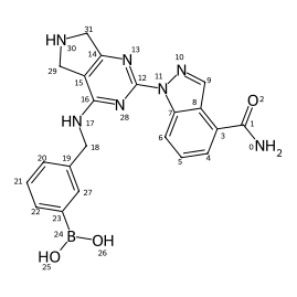 NC(=O)c1cccc2c1cnn2-c1nc2c(c(NCc3cccc(B(O)O)c3)n1)CNC2